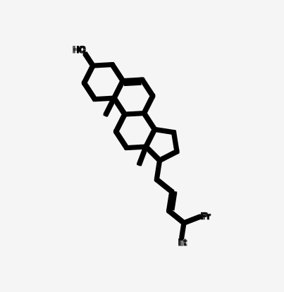 CCC(/C=C/CC1CCC2C3CC=C4CC(O)CCC4(C)C3CCC12C)C(C)C